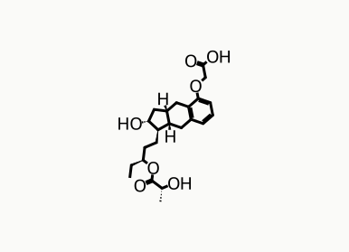 CC[C@@H](CC[C@@H]1[C@H]2Cc3cccc(OCC(=O)O)c3C[C@H]2C[C@H]1O)OC(=O)[C@@H](C)O